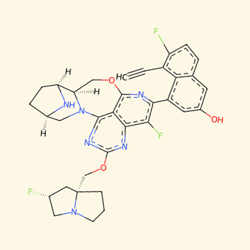 C#Cc1c(F)ccc2cc(O)cc(-c3nc4c5c(nc(OC[C@]67CCCN6C[C@H](F)C7)nc5c3F)N3C[C@H]5CC[C@H](N5)[C@H]3CO4)c12